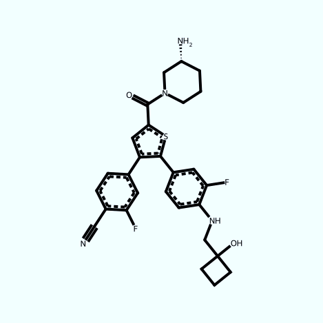 N#Cc1ccc(-c2cc(C(=O)N3CCC[C@@H](N)C3)sc2-c2ccc(NCC3(O)CCC3)c(F)c2)cc1F